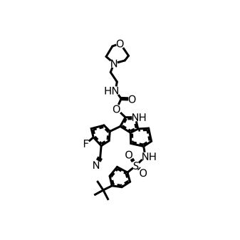 CC(C)(C)c1ccc(S(=O)(=O)Nc2ccc3[nH]c(OC(=O)NCCN4CCOCC4)c(-c4ccc(F)c(C#N)c4)c3c2)cc1